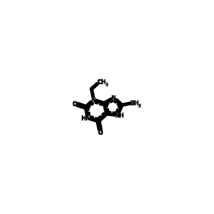 Bc1nc2c([nH]1)c(=O)[nH]c(=O)n2CC